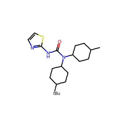 CC1CCC(N(C(=O)Nc2nccs2)C2CCC(C(C)(C)C)CC2)CC1